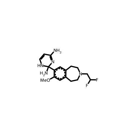 COc1cc2c(cc1C1(N)N=C(N)C=CN1)CCN(CC(F)F)CC2